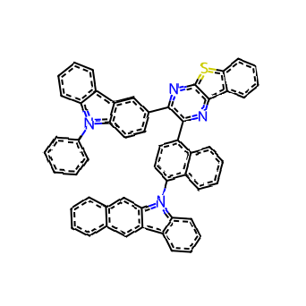 c1ccc(-n2c3ccccc3c3cc(-c4nc5sc6ccccc6c5nc4-c4ccc(-n5c6ccccc6c6cc7ccccc7cc65)c5ccccc45)ccc32)cc1